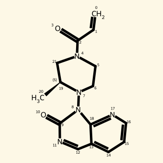 C=CC(=O)N1CCN(n2c(=O)ncc3cccnc32)[C@@H](C)C1